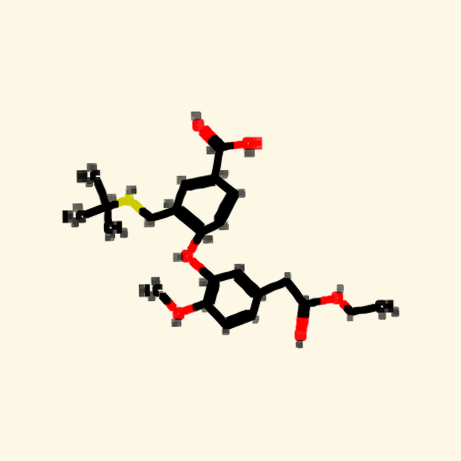 CCOC(=O)Cc1ccc(OC)c(Oc2ccc(C(=O)O)cc2CSC(C)(C)C)c1